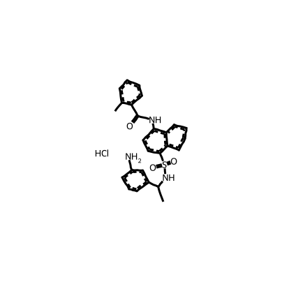 Cc1ccccc1C(=O)Nc1ccc(S(=O)(=O)NC(C)c2cccc(N)c2)c2ccccc12.Cl